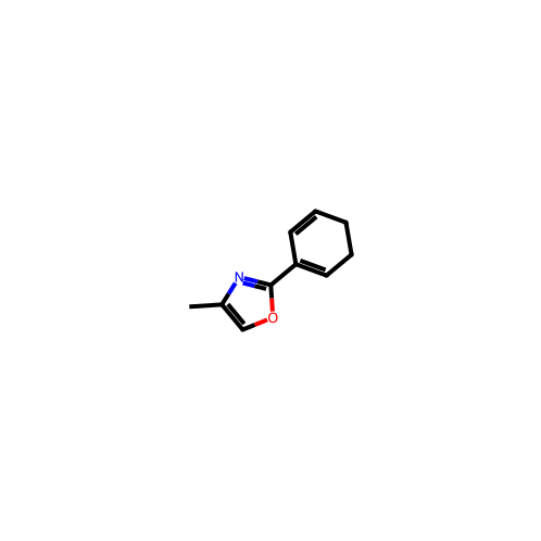 Cc1coc(C2=CCCC=C2)n1